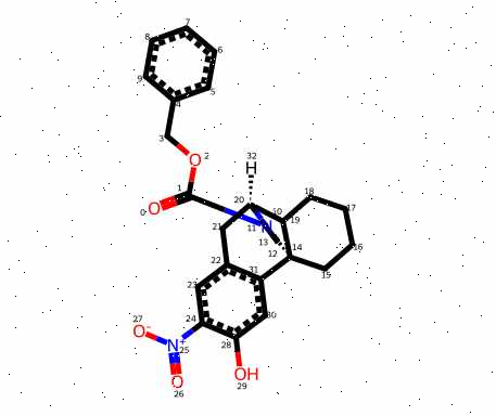 O=C(OCc1ccccc1)N1CCC[C@@]23CCCCC2[C@@H]1Cc1cc([N+](=O)[O-])c(O)cc13